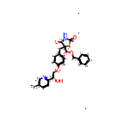 CCc1ccc([C@@H](O)COc2ccc(CC3(C(=O)OCc4ccccc4)SC(=O)NC3=O)cc2)nc1